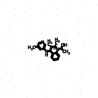 Cc1cncc(NC2c3ccccc3N(C(C)O)[C@@H](C)[C@@H]2C)c1